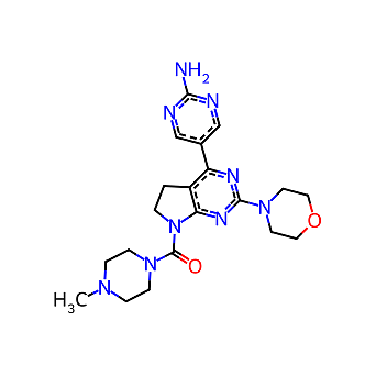 CN1CCN(C(=O)N2CCc3c(-c4cnc(N)nc4)nc(N4CCOCC4)nc32)CC1